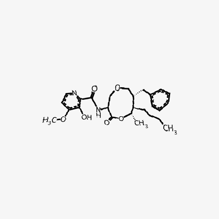 CCCC[C@@H]1[C@@H](Cc2ccccc2)COC[C@H](NC(=O)c2nccc(OC)c2O)C(=O)O[C@H]1C